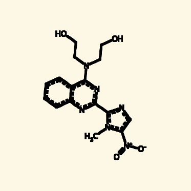 Cn1c([N+](=O)[O-])cnc1-c1nc(N(CCO)CCO)c2ccccc2n1